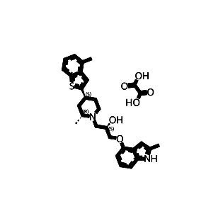 Cc1cc2c(OC[C@@H](O)CN3CC[C@H](c4cc5c(C)cccc5s4)C[C@H]3C)cccc2[nH]1.O=C(O)C(=O)O